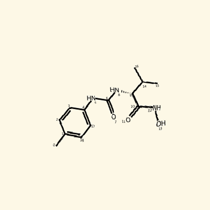 Cc1ccc(NC(=O)N[C@@H](C(=O)NO)C(C)C)cc1